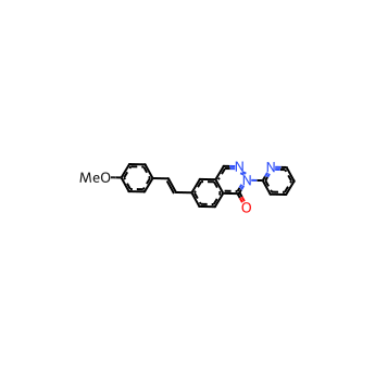 COc1ccc(C=Cc2ccc3c(=O)n(-c4ccccn4)ncc3c2)cc1